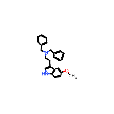 COc1ccc2[nH]cc(CCN(Cc3ccccc3)Cc3ccccc3)c2c1